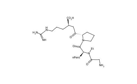 CCCCC[C@@H](C(=O)N1CCC[C@H]1C(=O)C[C@@H](CCCNC(=N)N)C(=O)O)N(CC)C(=O)CN